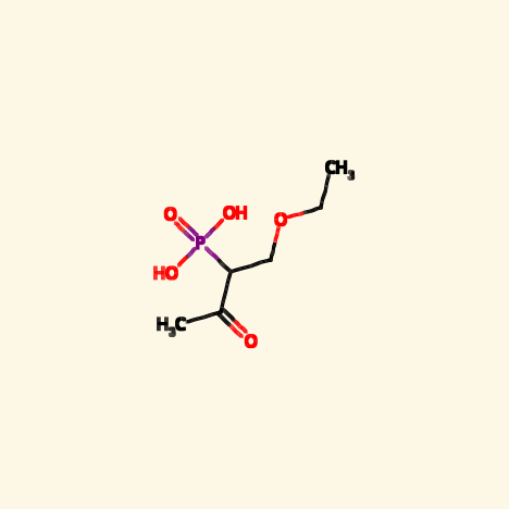 CCOCC(C(C)=O)P(=O)(O)O